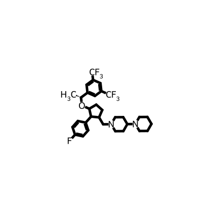 C[C@@H](OC1CCC(CN2CCC(N3CCCCC3)CC2)C1c1ccc(F)cc1)c1cc(C(F)(F)F)cc(C(F)(F)F)c1